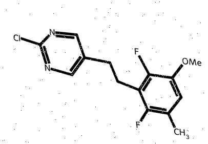 COc1cc(C)c(F)c(CCc2cnc(Cl)nc2)c1F